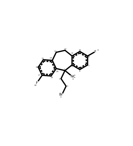 [C-]#[N+]C1(CCBr)c2ccc(F)cc2CCc2ccc(F)cc21